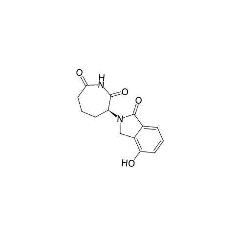 O=C1CCC[C@H](N2Cc3c(O)cccc3C2=O)C(=O)N1